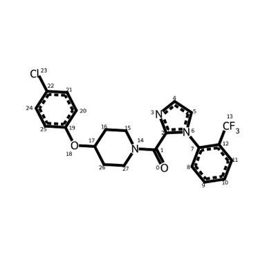 O=C(c1nccn1-c1ccccc1C(F)(F)F)N1CCC(Oc2ccc(Cl)cc2)CC1